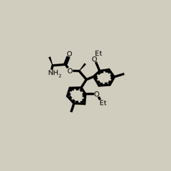 CCOc1cc(C)ccc1C(c1ccc(C)cc1OCC)[C@H](C)OC(=O)[C@H](C)N